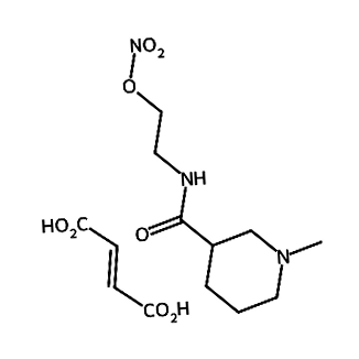 CN1CCCC(C(=O)NCCO[N+](=O)[O-])C1.O=C(O)C=CC(=O)O